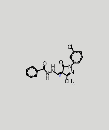 CC1=NN(c2cccc(Cl)c2)C(=O)/C1=C\NNC(=O)c1ccccc1